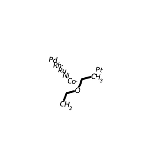 CCOCC.[Co].[Ni].[Pd].[Pt].[Rh].[Ru]